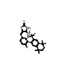 Cc1ccc(C=C2SC(=O)NC2=O)cc1-c1cc2c(cc1C(F)(F)F)C(C)(C)CCC2(C)C